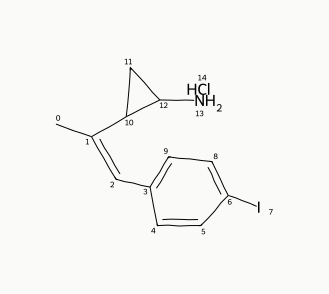 CC(=Cc1ccc(I)cc1)C1CC1N.Cl